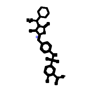 CC(C1CCCCC1)N1C(=O)S/C(=C\c2ccc(NS(=O)(=O)c3ccc(Cl)c([N+](=O)[O-])c3)cc2)C1=O